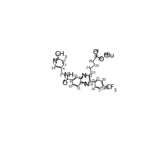 Cc1ccc(CNC(=O)c2ccc3nc(-c4ccc(C(F)(F)F)cc4)c(CCCCC(=O)OC(C)(C)C)nc3c2)cn1